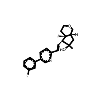 CC1(O)C[C@H]2COCC[C@H]2[C@@H]1/C=C/c1ccc(-c2cccc(F)c2)cn1